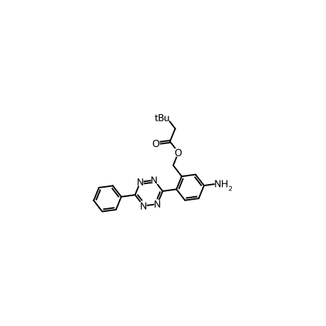 CC(C)(C)CC(=O)OCc1cc(N)ccc1-c1nnc(-c2ccccc2)nn1